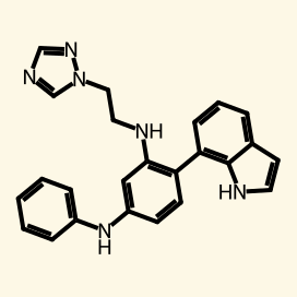 c1ccc(Nc2ccc(-c3cccc4cc[nH]c34)c(NCCn3cncn3)c2)cc1